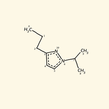 CCCc1ccn(C(C)C)n1